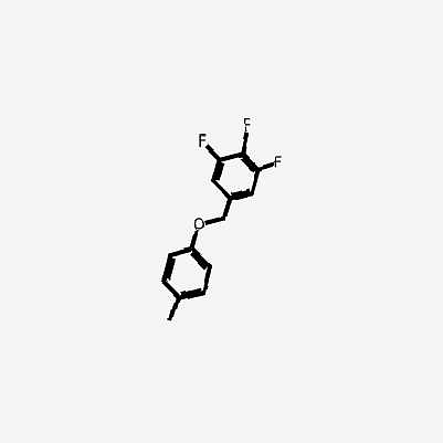 Cc1ccc(OCc2cc(F)c(F)c(F)c2)cc1